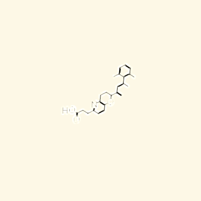 C=C(/C=C(\C)c1c(C)cccc1C)C1CCc2nc(CCC(=O)O)ccc2O1